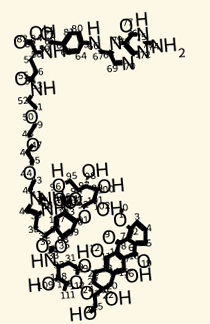 COc1cccc2c1C(=O)c1c(O)c3c(c(O)c1C2=O)C[C@@](O)(C(=O)CO)C[C@@H]3OC1CC(NC(=O)O[C@@H](CC2=CN(CCOCCOCCOCCNC(=O)CC[C@H](NC(=O)c3ccc(NCc4cnc5nc(N)[nH]c(=O)c5n4)cc3)C(=O)O)NN2)c2ccc(O[C@@H]3OC(CO)[C@H](O)[C@H](O)C3O)c([N+](=O)[O-])c2)C(O)C(C)O1